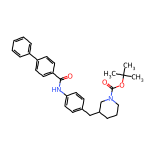 CC(C)(C)OC(=O)N1CCCC(Cc2ccc(NC(=O)c3ccc(-c4ccccc4)cc3)cc2)C1